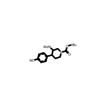 CNC1CN(C(=O)OC(C)(C)C)CCC1c1ccc(C#N)cc1